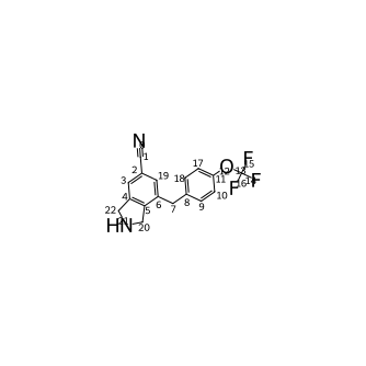 N#Cc1cc2c(c(Cc3ccc(OC(F)(F)F)cc3)c1)CNC2